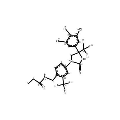 CCC(=O)NCc1ccc(N2CC(c3cc(Cl)c(Cl)c(Cl)c3)(C(F)(F)F)OC2=O)cc1C(F)(F)F